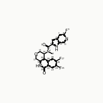 CN(C(=O)c1cc2cc(F)ncc2[nH]1)C1COCc2[nH]c(=O)c3cc(F)c(F)cc3c21